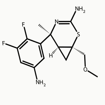 COC[C@]12C[C@H]1[C@@](C)(c1cc(N)cc(F)c1F)N=C(N)S2